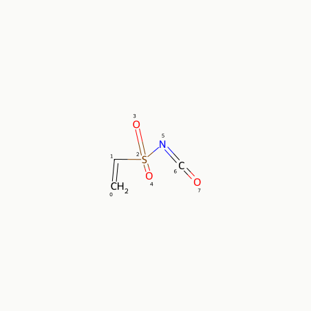 C=CS(=O)(=O)N=C=O